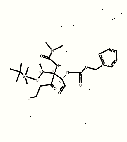 C[C@H](O[Si](C)(C)C(C)(C)C)[C@@](NC(=O)N(C)C)(C(=O)CCO)[C@@H](C=O)NC(=O)OCc1ccccc1